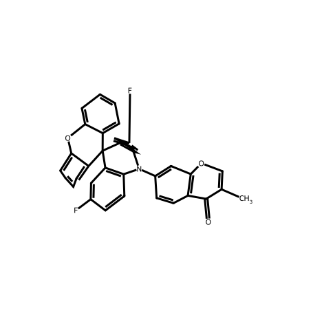 Cc1coc2cc(N3c4ccc(F)cc4C4(c5ccccc5Oc5ccccc54)c4cc(F)ccc43)ccc2c1=O